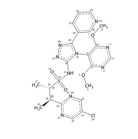 COc1ncnc(OC)c1-n1c(NS(=O)(=O)[C@@H](C)[C@H](C)c2ncc(Cl)cn2)nnc1-c1cccnc1